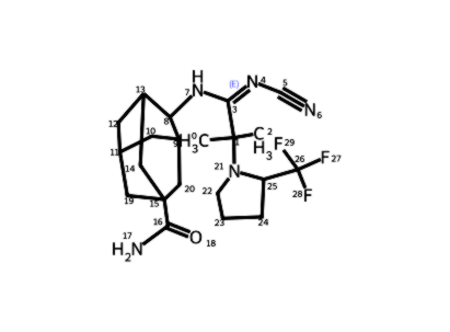 CC(C)(/C(=N\C#N)NC1C2CC3CC1CC(C(N)=O)(C3)C2)N1CCCC1C(F)(F)F